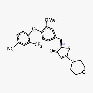 COc1cc(/C=C2/SC(N3CCOCC3)=NC2=O)ccc1Oc1ccc(C#N)cc1C(F)(F)F